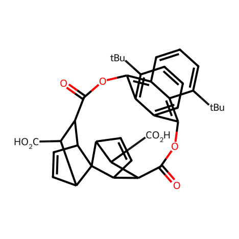 CC(C)(C)c1cccc2c3c4c(C(C)(C)C)cccc4c(c12)OC(=O)C1C(C(=O)O)C2C=CC1C21C2C=CC1C(C(=O)O3)C2C(=O)O